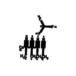 CC#N.CC#N.CC#N.CC#N.FC(F)F.[Cu]